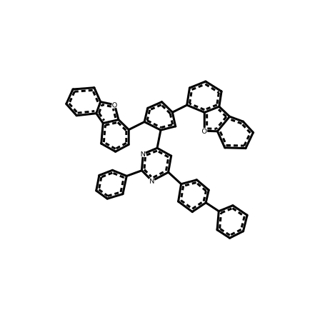 c1ccc(-c2ccc(-c3cc(-c4cc(-c5cccc6c5oc5ccccc56)ccc4-c4cccc5c4oc4ccccc45)nc(-c4ccccc4)n3)cc2)cc1